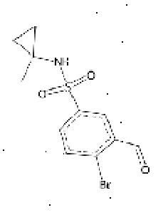 CC1(NS(=O)(=O)c2ccc(Br)c(C=O)c2)CC1